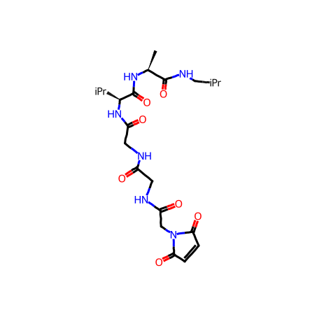 CC(C)CNC(=O)[C@H](C)NC(=O)[C@@H](NC(=O)CNC(=O)CNC(=O)CN1C(=O)C=CC1=O)C(C)C